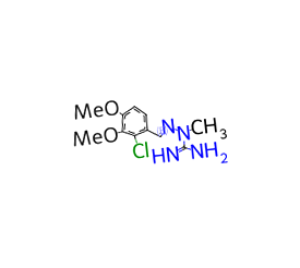 COc1ccc(/C=N/N(C)C(=N)N)c(Cl)c1OC